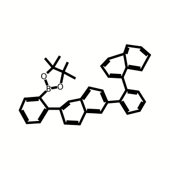 CC1(C)OB(c2ccccc2-c2ccc3cc(-c4ccccc4-c4cccc5ccccc45)ccc3c2)OC1(C)C